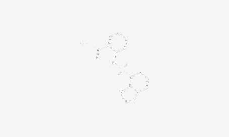 COC(=O)c1ccccc1NS(=O)(=O)c1cccc2nsnc12